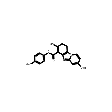 COc1ccc(NC(=O)C2=C(O)CCc3c2nc2cc(OC)ccn32)cc1